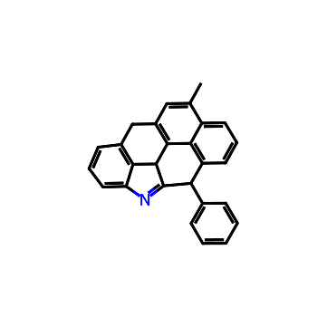 Cc1cc2c3c4c(cccc14)C(c1ccccc1)C1=Nc4cccc(c4C13)C2